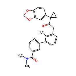 Cc1c(CC(=O)C2(c3ccc4c(c3)OCO4)CC2)cccc1-c1cccc(C(=O)N(C)C)c1